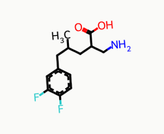 CC(Cc1ccc(F)c(F)c1)CC(CN)C(=O)O